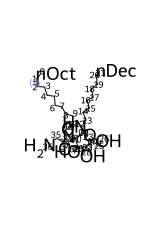 CCCCCCCC/C=C\CCCCCCCC(=O)N(CCCCCCCCCCCCCCCCCC)[C@@H]1O[C@H](CO)[C@@H](O)[C@H](O)[C@H]1NC(=O)CN